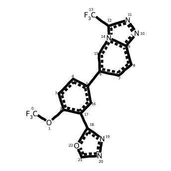 FC(F)(F)Oc1ccc(-c2ccc3nnc(C(F)(F)F)n3c2)cc1-c1nnco1